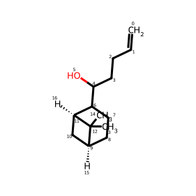 C=CCCC(O)C1CC[C@H]2C[C@@H]1C2(C)C